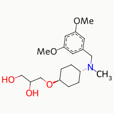 COc1cc(CN(C)[C@H]2CC[C@H](OCC(O)CO)CC2)cc(OC)c1